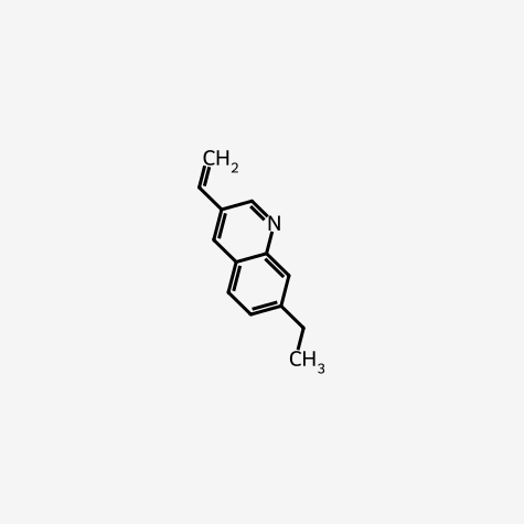 C=Cc1cnc2cc(CC)ccc2c1